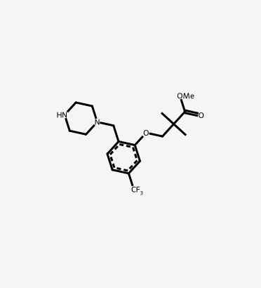 COC(=O)C(C)(C)COc1cc(C(F)(F)F)ccc1CN1CCNCC1